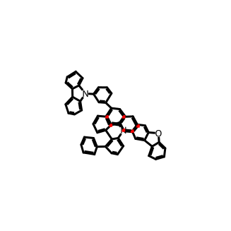 c1ccc(-c2ccccc2-c2c(-c3ccccc3)cccc2N(c2ccc(-c3cccc(-n4c5ccccc5c5ccccc54)c3)cc2)c2ccc3oc4ccccc4c3c2)cc1